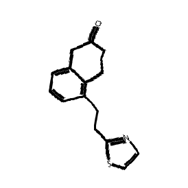 O=C1CCc2c(CCc3nccs3)cccc2C1